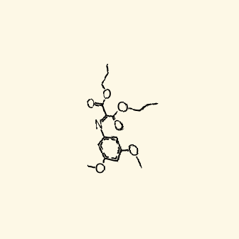 CCCOC(=O)C(=Nc1cc(OC)cc(OC)c1)C(=O)OCCC